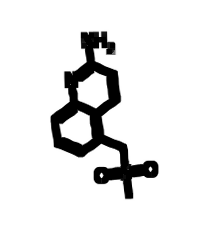 CS(=O)(=O)Cc1cccc2nc(N)ccc12